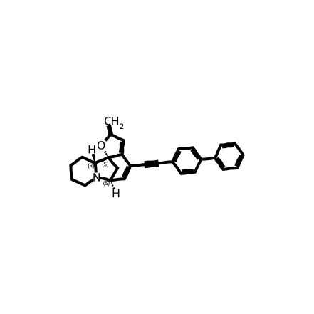 C=C1C=C2C(C#Cc3ccc(-c4ccccc4)cc3)=C[C@@H]3C[C@@]2(O1)[C@H]1CCCCN31